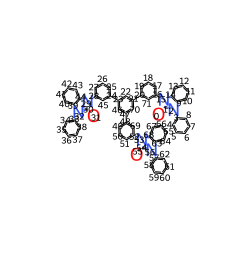 O=c1n(-c2ccccc2)c2ccccc2n1-c1cccc(-c2cc(-c3cccc(-n4c(=O)n(-c5ccccc5)c5ccccc54)c3)cc(-c3cccc(-n4c(=O)n(-c5ccccc5)c5ccccc54)c3)c2)c1